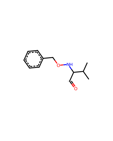 CC(C)C([C]=O)NOCc1ccccc1